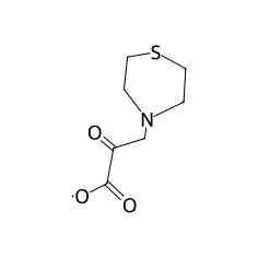 [O]C(=O)C(=O)CN1CCSCC1